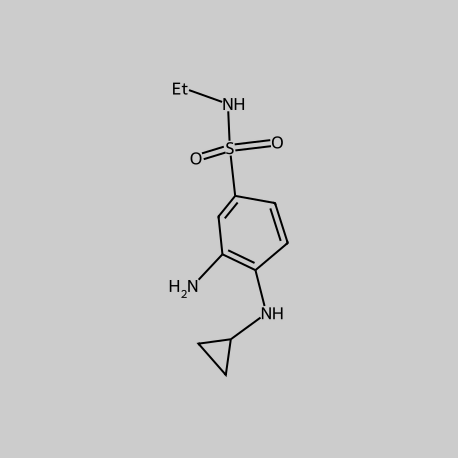 CCNS(=O)(=O)c1ccc(NC2CC2)c(N)c1